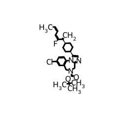 C=C(/C(F)=C\C=C/C)[C@H]1CC[C@@H](c2cnc3n2-c2ccc(Cl)cc2CN(C(=O)OC(C)(C)C)C3)CC1